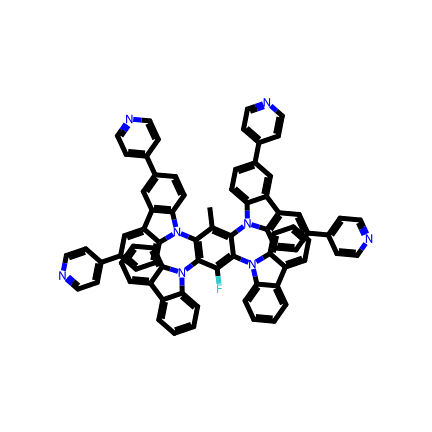 Cc1c(-n2c3ccc(-c4ccncc4)cc3c3cc(-c4ccncc4)ccc32)c(-n2c3ccccc3c3ccccc32)c(F)c(-n2c3ccccc3c3ccccc32)c1-n1c2ccc(-c3ccncc3)cc2c2cc(-c3ccncc3)ccc21